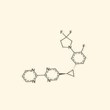 Fc1ccc([C@@H]2C[C@H]2c2cnc(-c3ncccn3)nc2)cc1N1CCC(F)(F)C1